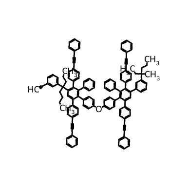 C#Cc1cccc(C(CCC)(CCCC)c2cc(-c3ccc(C#Cc4ccccc4)cc3)c(-c3ccc(Oc4ccc(-c5c(-c6ccc(C#Cc7ccccc7)cc6)cc(-c6cccc(C(C)(CC)CCC)c6)c(-c6ccc(C#Cc7ccccc7)cc6)c5-c5ccccc5)cc4)cc3)c(-c3ccccc3)c2-c2ccc(C#Cc3ccccc3)cc2)c1